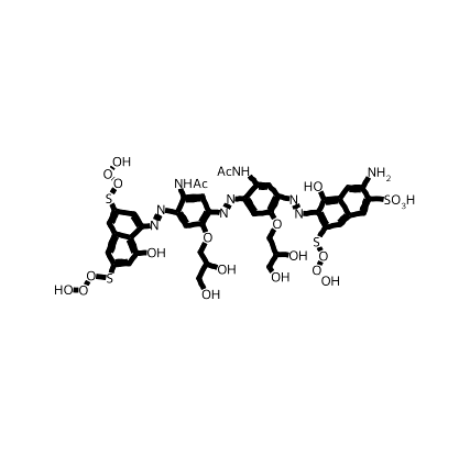 CC(=O)Nc1cc(N=Nc2c(SOOO)cc3cc(S(=O)(=O)O)c(N)cc3c2O)c(OCC(O)CO)cc1N=Nc1cc(NC(C)=O)c(N=Nc2cc(SOOO)cc3cc(SOOO)cc(O)c23)cc1OCC(O)CO